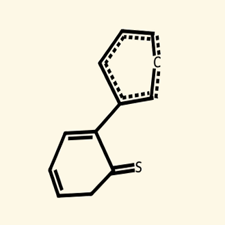 S=C1CC=CC=C1c1[c]cccc1